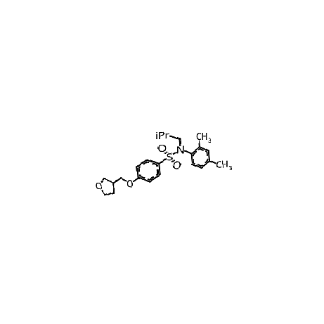 Cc1ccc(N(CC(C)C)S(=O)(=O)c2ccc(OCC3CCOC3)cc2)c(C)c1